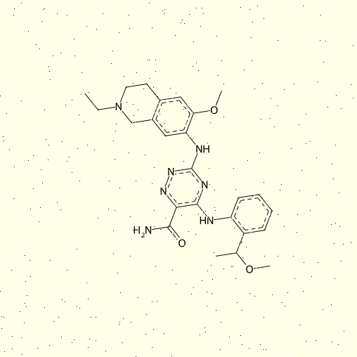 CCN1CCc2cc(OC)c(Nc3nnc(C(N)=O)c(Nc4ccccc4C(C)OC)n3)cc2C1